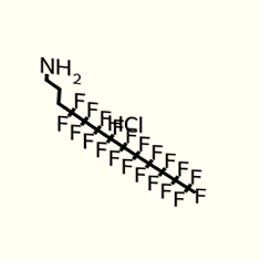 Cl.NCCCC(F)(F)C(F)(F)C(F)(F)C(F)(F)C(F)(F)C(F)(F)C(F)(F)C(F)(F)C(F)(F)C(F)(F)F